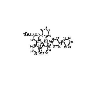 CC(C)(C)c1cc(-c2c#cccc2)c(-c2oc(-c3ccc(-c4ccccc4)cc3)c3c2CCC=C3)c(-c2ccccc2)c1